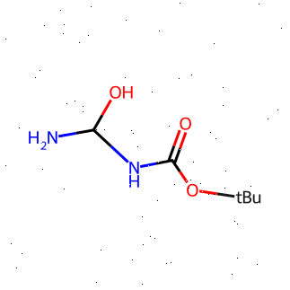 CC(C)(C)OC(=O)NC(N)O